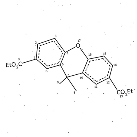 CCOC(=O)c1ccc2c(c1)C(C)(C)c1cc(C(=O)OCC)ccc1O2